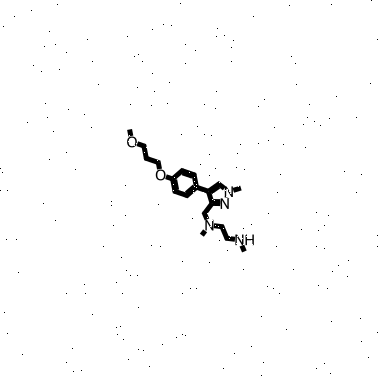 CNCCN(C)Cc1nn(C)cc1-c1ccc(OCCCOC)cc1